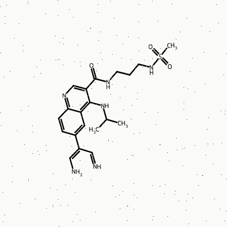 CC(C)Nc1c(C(=O)NCCCNS(C)(=O)=O)cnc2ccc(/C(C=N)=C/N)cc12